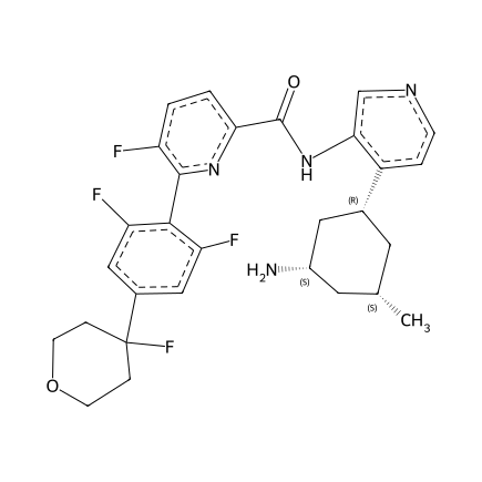 C[C@@H]1C[C@H](N)C[C@H](c2ccncc2NC(=O)c2ccc(F)c(-c3c(F)cc(C4(F)CCOCC4)cc3F)n2)C1